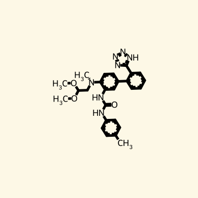 COC(CN(C)c1ccc(-c2ccccc2-c2nnn[nH]2)cc1NC(=O)Nc1ccc(C)cc1)OC